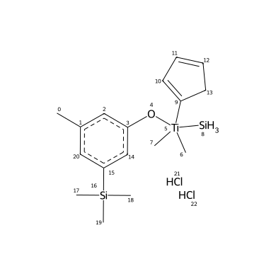 Cc1cc([O][Ti]([CH3])([CH3])([SiH3])[C]2=CC=CC2)cc([Si](C)(C)C)c1.Cl.Cl